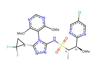 COc1ncnc(OC)c1-n1c(NS(=O)(=O)[C@@H](C)[C@H](OC)c2ncc(Cl)cn2)nnc1[C@H]1CC1(F)F